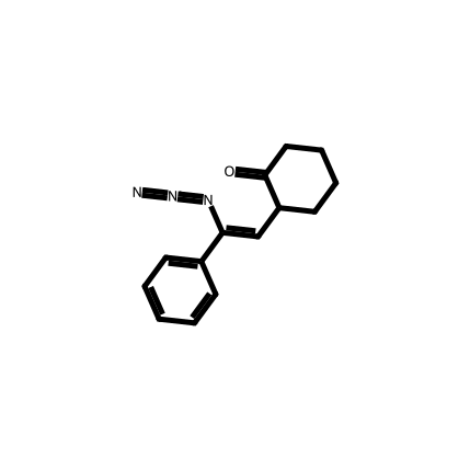 [N-]=[N+]=NC(=CC1CCCCC1=O)c1ccccc1